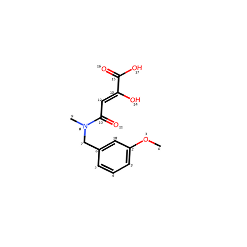 COc1cccc(CN(C)C(=O)C=C(O)C(=O)O)c1